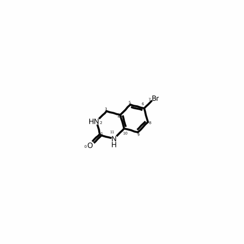 O=C1NCc2cc(Br)ccc2N1